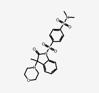 CN(C)S(=O)(=O)c1ccc(S(=O)(=O)N2C(=O)C(C)(N3CCOCC3)c3ccccc32)cc1